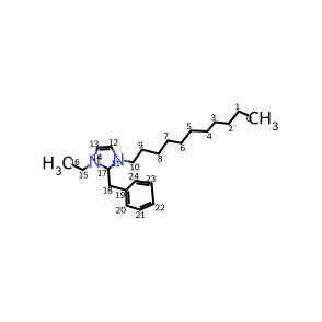 CCCCCCCCCCCN1C=CN(CC)C1Cc1ccccc1